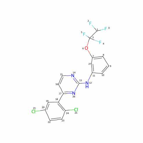 FC(F)C(F)(F)Oc1cccc(Nc2nccc(-c3cc(Cl)ccc3Cl)n2)c1